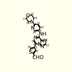 O=Cc1cc(-c2cnc(Nc3ccc(N4CCOCC4)nc3)c3ncnn23)cs1